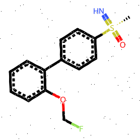 C[S@](=N)(=O)c1ccc(-c2ccccc2OCF)cc1